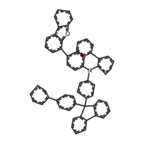 c1ccc(-c2ccc(C3(c4ccc(N(c5ccc(-c6cccc7c6oc6ccccc67)cc5)c5ccccc5-c5ccccc5)cc4)c4ccccc4-c4ccccc43)cc2)cc1